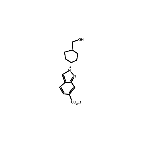 CCOC(=O)c1ccc2cn([C@H]3CC[C@H](CO)CC3)nc2c1